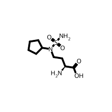 N[C@@H](CCN(C1CCCC1)S(N)(=O)=O)C(=O)O